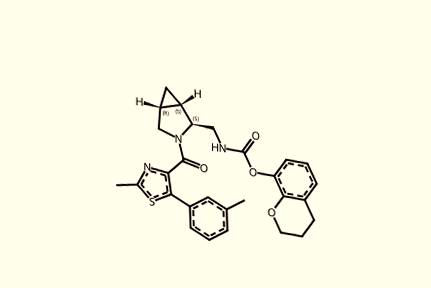 Cc1cccc(-c2sc(C)nc2C(=O)N2C[C@@H]3C[C@@H]3[C@H]2CNC(=O)Oc2cccc3c2OCCC3)c1